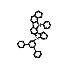 c1ccc(-c2cc(-c3ccccc3)cc(-n3c4ccccc4c4c3ccc3c5ccc6ccccc6c5n(-c5ccccc5)c34)c2)cc1